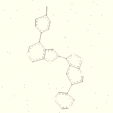 Fc1ccc(-c2cncc3[nH]c(-c4n[nH]c5ncc(-c6cncnc6)cc45)cc23)cc1